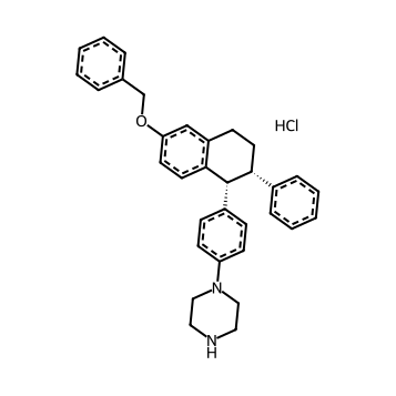 Cl.c1ccc(COc2ccc3c(c2)CC[C@H](c2ccccc2)[C@@H]3c2ccc(N3CCNCC3)cc2)cc1